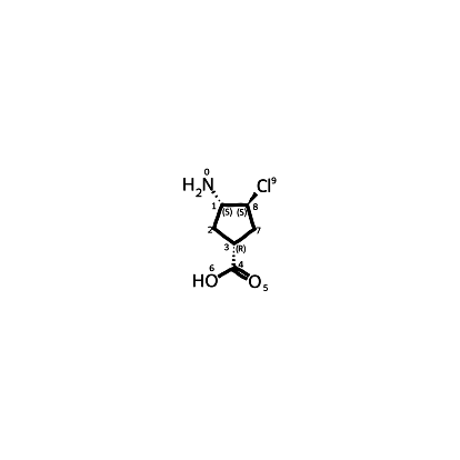 N[C@H]1C[C@@H](C(=O)O)C[C@@H]1Cl